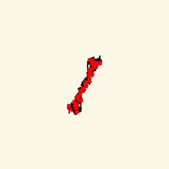 CC1(C)c2cc(/C=C/c3ccc(-c4ccc(-c5ccc(/C=C/c6ccc7c(c6)C(C)(C)c6cc(N(c8ccccn8)c8ccccn8)ccc6-7)cc5)cc4)cc3)ccc2-c2ccc(N(c3ccccn3)c3ccccn3)cc21